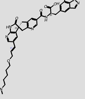 CNCCCCCOC/C=C/c1cnc2c(c1)[C@@]1(Cc3cc(C(=O)N[C@H](Cc4cc(C)c5[nH]ncc5c4)C(=O)O)cnc3C1)C(=O)N2